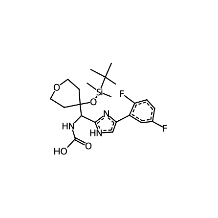 CC(C)(C)[Si](C)(C)OC1(C(NC(=O)O)c2nc(-c3cc(F)ccc3F)c[nH]2)CCOCC1